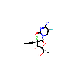 CC#CC1(Cl)[C@@H](O)[C@@H]([C@H](C)O)O[C@H]1n1cc(F)c(N)nc1=O